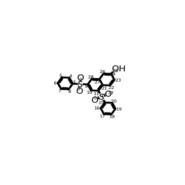 O=S(=O)(c1ccccc1)c1cc(S(=O)(=O)c2ccccc2)c2ccc(O)cc2c1